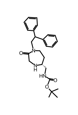 CC(C)(C)OC(=O)NC[C@H]1CCN(CC(c2ccccc2)c2ccccc2)C(=O)CN1